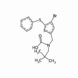 CC(C)(C)CN(Cc1cc(Br)c(Sc2ccccc2)s1)C(=O)O